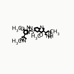 CN/C=C(\C=N)c1cnc2ccc(Sc3nnc4c(OC)cc(-c5cnn(C)c5)cn34)cc2c1OC